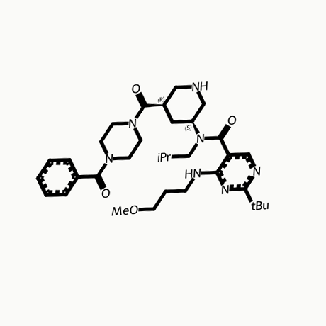 COCCCNc1nc(C(C)(C)C)ncc1C(=O)N(CC(C)C)[C@@H]1CNC[C@H](C(=O)N2CCN(C(=O)c3ccccc3)CC2)C1